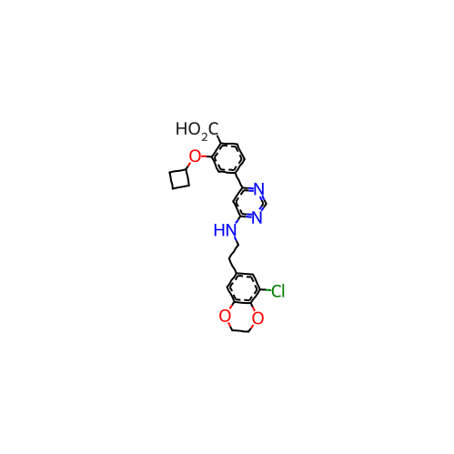 O=C(O)c1ccc(-c2cc(NCCc3cc(Cl)c4c(c3)OCCO4)ncn2)cc1OC1CCC1